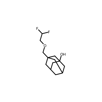 OC12CC3CC(C1)CC(COCC(F)F)(C3)C2